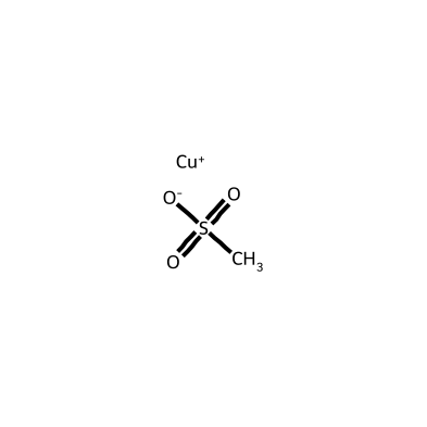 CS(=O)(=O)[O-].[Cu+]